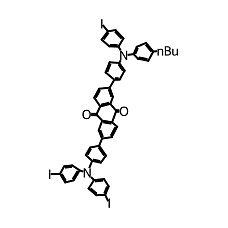 CCCCc1ccc(N(c2ccc(I)cc2)c2ccc(-c3ccc4c(c3)C(=O)c3ccc(-c5ccc(N(c6ccc(I)cc6)c6ccc(I)cc6)cc5)cc3C4=O)cc2)cc1